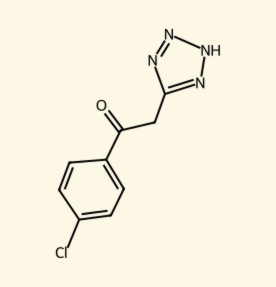 O=C(Cc1nn[nH]n1)c1ccc(Cl)cc1